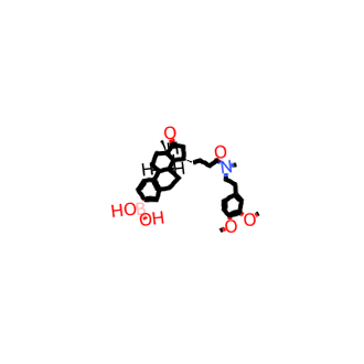 COc1ccc(CCN(C)C(=O)CCC[C@H]2CC(=O)[C@@]3(C)CC[C@@H]4c5ccc(B(O)O)cc5CC[C@H]4[C@H]23)cc1OC